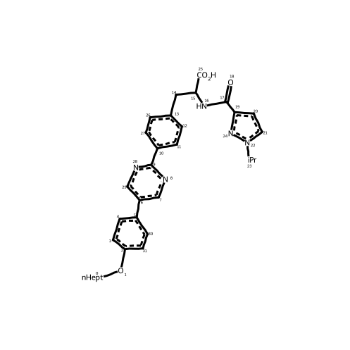 CCCCCCCOc1ccc(-c2cnc(-c3ccc(CC(NC(=O)c4ccn(C(C)C)n4)C(=O)O)cc3)nc2)cc1